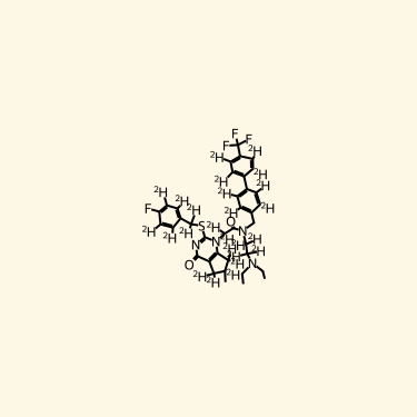 [2H]c1c([2H])c(C([2H])([2H])Sc2nc(=O)c3c(n2C([2H])([2H])C(=O)N(Cc2c([2H])c([2H])c(-c4c([2H])c([2H])c(C(F)(F)F)c([2H])c4[2H])c([2H])c2[2H])C([2H])([2H])C([2H])([2H])N(CC)CC)C([2H])([2H])C([2H])(C)C3([2H])[2H])c([2H])c([2H])c1F